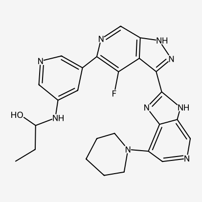 CCC(O)Nc1cncc(-c2ncc3[nH]nc(-c4nc5c(N6CCCCC6)cncc5[nH]4)c3c2F)c1